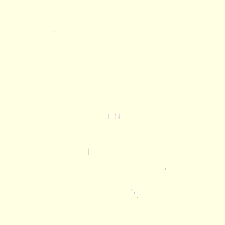 O=C(NCc1ccc(F)cc1)c1c(Cl)nsc1Cl